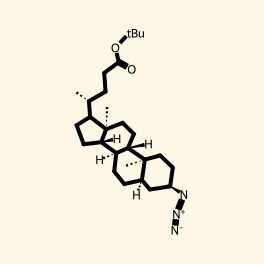 C[C@H](CCC(=O)OC(C)(C)C)C1CC[C@H]2[C@@H]3CC[C@@H]4C[C@H](N=[N+]=[N-])CC[C@]4(C)[C@H]3CC[C@]12C